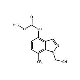 CC(C)(C)OC(=O)Nc1ccc(C(F)(F)F)c2c1cnn2CC#N